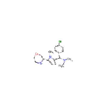 CN(C)C(c1ccc(Br)cc1)c1ccc(C2COCC[N]2)n1C